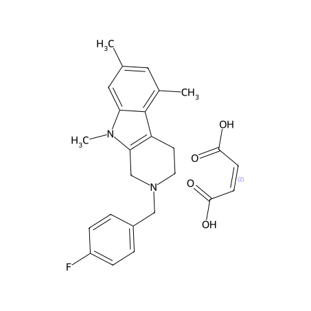 Cc1cc(C)c2c3c(n(C)c2c1)CN(Cc1ccc(F)cc1)CC3.O=C(O)/C=C\C(=O)O